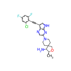 C[C@@H]1OCC2(CCN(c3cnc4c(C#Cc5c(F)cc(F)cc5Cl)c[nH]c4n3)CC2)[C@@H]1N